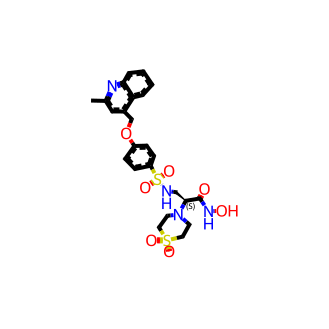 Cc1cc(COc2ccc(S(=O)(=O)NC[C@@H](C(=O)NO)N3CCS(=O)(=O)CC3)cc2)c2ccccc2n1